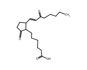 CCCCCC(=O)C=CC1CCC(=O)C1CCCCCC(=O)O